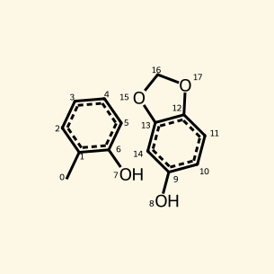 Cc1ccccc1O.Oc1ccc2c(c1)OCO2